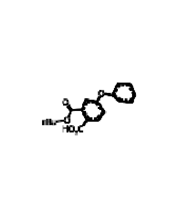 CCCCOC(=O)c1cc(Oc2ccccc2)ccc1C(=O)O